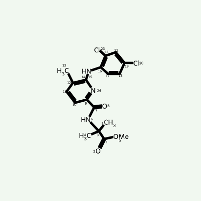 COC(=O)C(C)(C)NC(=O)c1ccc(C)c(Nc2ccc(Cl)cc2Cl)n1